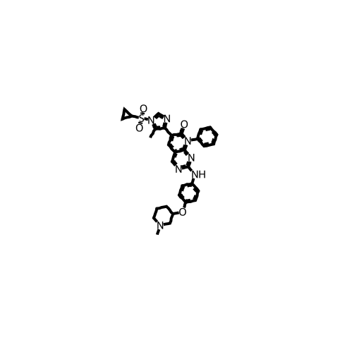 Cc1c(-c2cc3cnc(Nc4ccc(OC5CCCN(C)C5)cc4)nc3n(-c3ccccc3)c2=O)ncn1S(=O)(=O)C1CC1